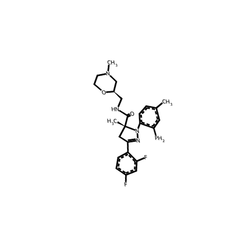 Cc1ccc(N2N=C(c3ccc(F)cc3F)C[C@]2(C)C(=O)NC[C@@H]2CN(C)CCO2)c(P)c1